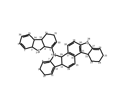 C1=CC2SC3C(N4C5=CCCC=C5C5C=Cc6c(ccc7c6C6CCCC=C6S7)C54)=CCCC3C2C=C1